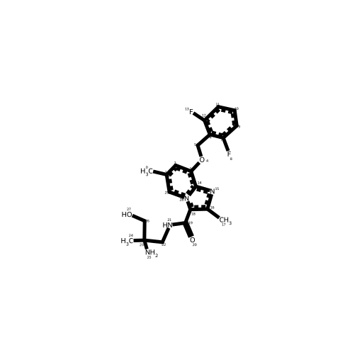 Cc1cc(OCc2c(F)cccc2F)c2nc(C)c(C(=O)NCC(C)(N)CO)n2c1